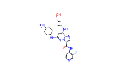 N[C@H]1CC[C@H](Nc2cc(N[C@H]3C[C@@H](CO)C3)c3ncc(C(=O)Nc4ccncc4F)n3n2)CC1